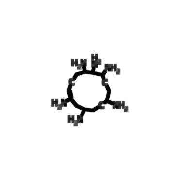 N/C1=C/CCC(N)C(N)C(N)CCC(N)CCC(N)C1